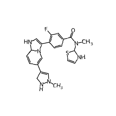 CN1C=C(C2=CN3C(c4ccc(C(=O)N(C)C5NC=CS5)cc4F)=CNC3C=C2)CN1